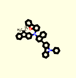 CC1(C)c2ccccc2-c2ccc(N(c3ccc(-c4ccc5c(c4)c4ccccc4n5-c4ccccc4)c4ccccc34)c3cccc4c3oc3ccccc34)cc21